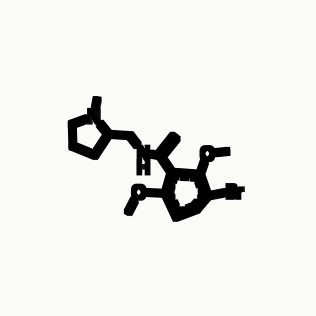 C=C(NCC1CCCN1C)c1c(OC)ccc(Br)c1OC